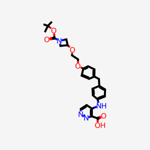 CC(C)(C)OC(=O)N1CC(OCCOc2ccc(Cc3ccc(Nc4ccnnc4C(=O)O)cc3)cc2)C1